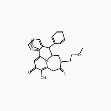 COCCN1CN(C(c2ccccc2)c2ccccc2)n2c(COC)cc(=O)c(O)c2CC1=O